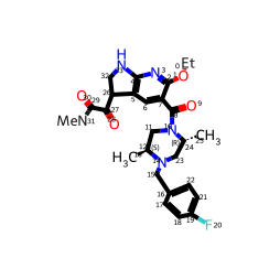 CCOc1nc2c(cc1C(=O)N1C[C@H](C)N(Cc3ccc(F)cc3)C[C@H]1C)C(C(=O)C(=O)NC)CN2